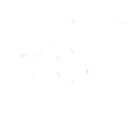 Cc1cc2c3c(c1)N(c1cccc4c1oc1ccccc14)c1cc4c(cc1B3c1sc3ccc(C(C)(C)C)cc3c1N2c1ccc(-c2ccc(C(C)(C)C)cc2)cc1)C(C)(C)c1ccccc1S4